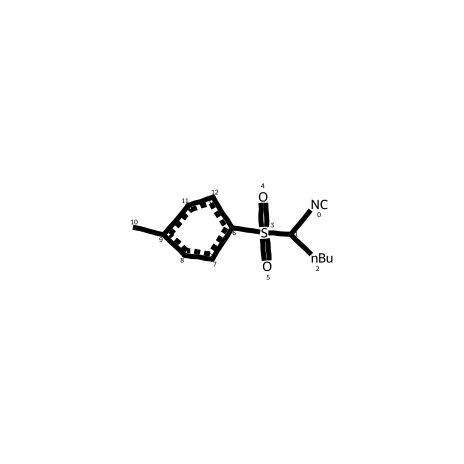 [C-]#[N+]C(CCCC)S(=O)(=O)c1ccc(C)cc1